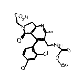 Cc1nc2c(c(-c3ccc(Cl)cc3Cl)c1CNC(=O)OC(C)(C)C)C(=O)N(CC(=O)O)C2